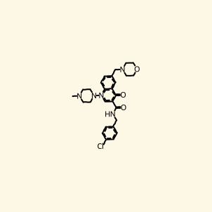 CN1CCN(n2cc(C(=O)NCc3ccc(Cl)cc3)c(=O)c3cc(CN4CCOCC4)ccc32)CC1